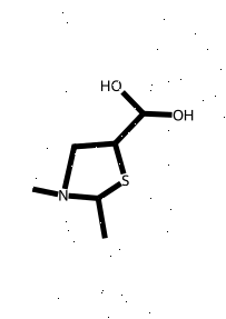 CC1SC(C(O)O)CN1C